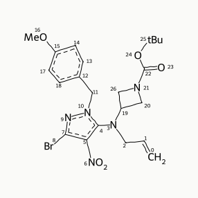 C=CCN(c1c([N+](=O)[O-])c(Br)nn1Cc1ccc(OC)cc1)C1CN(C(=O)OC(C)(C)C)C1